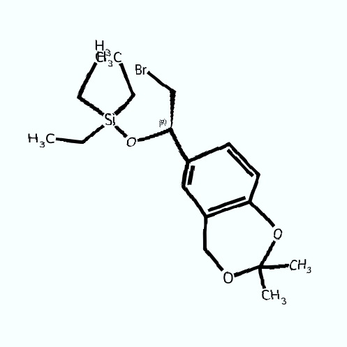 CC[Si](CC)(CC)O[C@@H](CBr)c1ccc2c(c1)COC(C)(C)O2